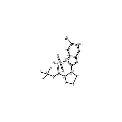 CC(C)(C)OC(=O)N1CCC[C@@H]1c1cc2cnc(Br)cc2n1S(C)(=O)=O